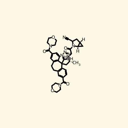 C[C@H](CC1(c2nnn[nH]2)c2ccc(C(=O)N3CCOCC3)cc2CCc2cc(C(=O)N3CCOCC3)ccc21)NCC(=O)N1C(C#N)C[C@@H]2C[C@@H]21